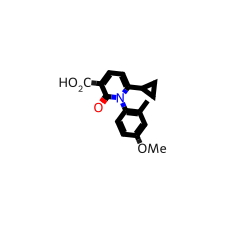 COc1ccc(-n2c(C3CC3)ccc(C(=O)O)c2=O)c(C)c1